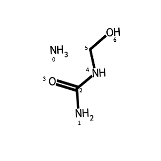 N.NC(=O)NCO